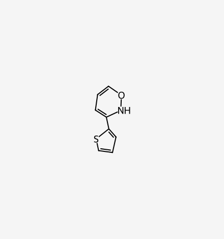 C1=CONC(c2cccs2)=C1